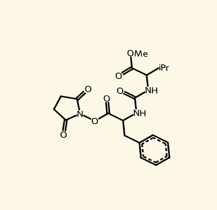 COC(=O)C(NC(=O)NC(Cc1ccccc1)C(=O)ON1C(=O)CCC1=O)C(C)C